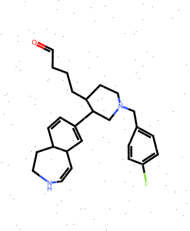 O=CCCCC1CCN(Cc2ccc(F)cc2)CC1C1=CC2C=CNCCC2C=C1